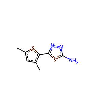 Cc1cc(C)c(-c2nnc(N)s2)s1